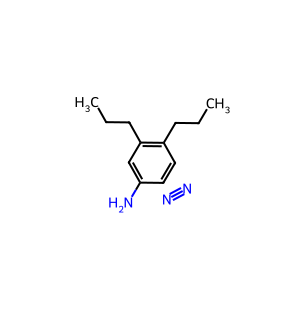 CCCc1ccc(N)cc1CCC.N#N